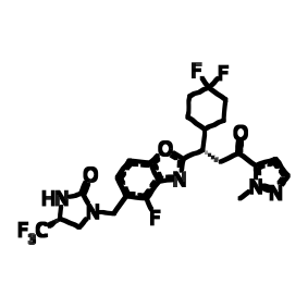 Cn1nccc1C(=O)C[C@H](c1nc2c(F)c(CN3C[C@@H](C(F)(F)F)NC3=O)ccc2o1)C1CCC(F)(F)CC1